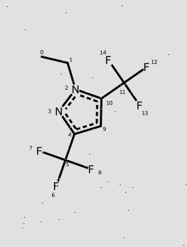 CCn1nc(C(F)(F)F)cc1C(F)(F)F